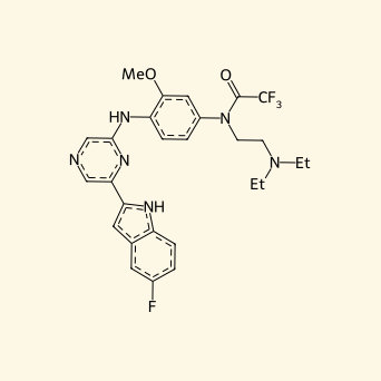 CCN(CC)CCN(C(=O)C(F)(F)F)c1ccc(Nc2cncc(-c3cc4cc(F)ccc4[nH]3)n2)c(OC)c1